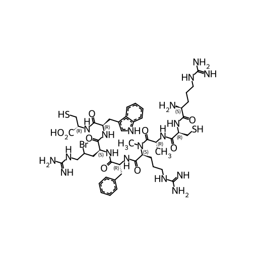 C[C@@H](NC(=O)[C@H](CS)NC(=O)[C@@H](N)CCCNC(=N)N)C(=O)N(C)[C@@H](CCCNC(=N)N)C(=O)N[C@H](Cc1ccccc1)C(=O)N[C@@H](CC(Br)CNC(=N)N)C(=O)N[C@H](Cc1c[nH]c2ccccc12)C(=O)N[C@@H](CS)C(=O)O